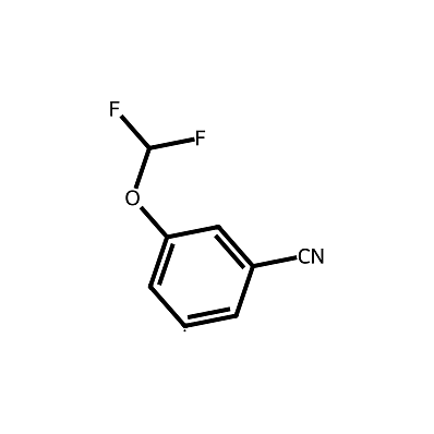 N#Cc1c[c]cc(OC(F)F)c1